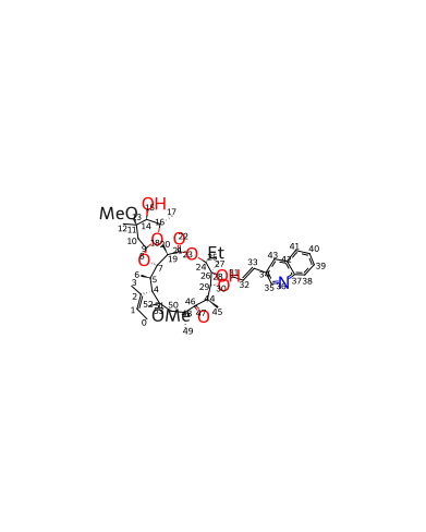 C/C=C(/C)[C@@H]1[C@@H](C)[C@H](O[C@H]2C[C@@](C)(OC)[C@@H](O)[C@H](C)O2)[C@@H](C)C(=O)O[C@H](CC)[C@@](C)(O)[C@H](OC/C=C/c2cnc3ccccc3c2)[C@@H](C)C(=O)[C@H](C)C[C@@]1(C)OC